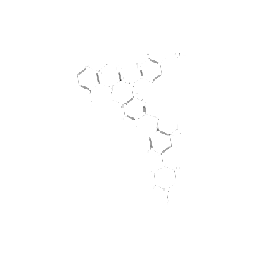 COc1ccc(N2C(=O)N(c3c(C)cccc3C)Cc3cnc(Nc4ccc(N5CCN(C)CC5)cc4Br)nc32)nc1